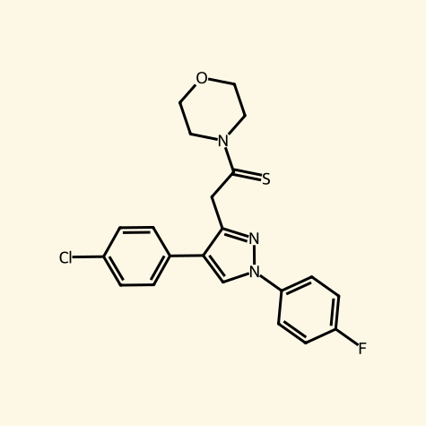 Fc1ccc(-n2cc(-c3ccc(Cl)cc3)c(CC(=S)N3CCOCC3)n2)cc1